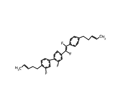 C/C=C/CCc1ccc(/C(F)=C(\F)c2ccc(-c3ccc(CC/C=C/C)c(F)c3)c(F)c2)cc1